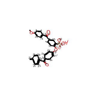 COc1ccc(C(=O)c2ccc(Oc3ccc(C(=O)c4ccc(C)cc4)cc3)c(S(=O)(=O)O)c2)cc1